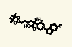 CC1(C)OB(CCCCC(N)(C(=O)O)C2CCN(C3CCc4cc(F)ccc43)CC2)OC1(C)C